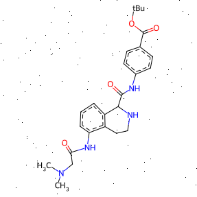 CN(C)CC(=O)Nc1cccc2c1CCNC2C(=O)Nc1ccc(C(=O)OC(C)(C)C)cc1